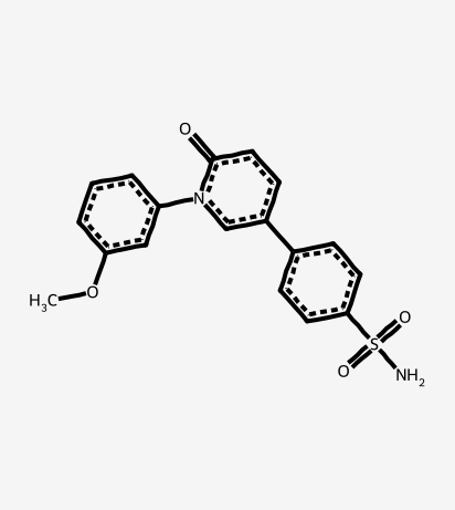 COc1cccc(-n2cc(-c3ccc(S(N)(=O)=O)cc3)ccc2=O)c1